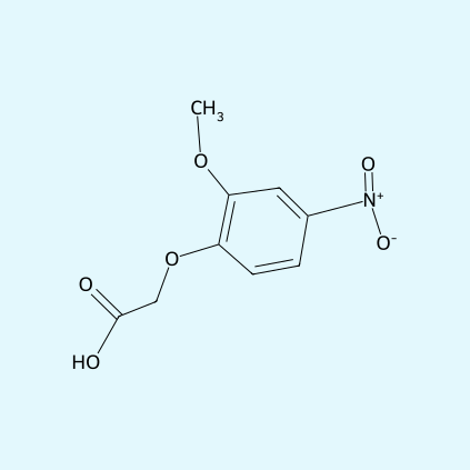 COc1cc([N+](=O)[O-])ccc1OCC(=O)O